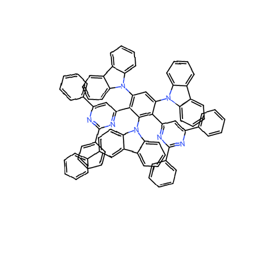 c1ccc(-c2ccc3c(c2)c2ccccc2n3-c2c(-c3cc(-c4ccccc4)nc(-c4ccccc4)n3)c(-n3c4ccccc4c4ccccc43)cc(-n3c4ccccc4c4ccccc43)c2-c2cc(-c3ccccc3)nc(-c3ccccc3)n2)cc1